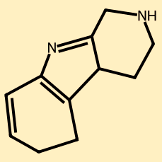 C1=CC2=C(CC1)C1CCNCC1=N2